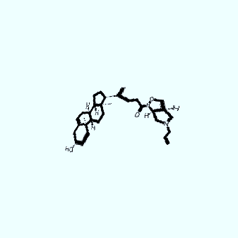 C=CCN1C[C@@H]2CON(C(=O)CCC(C)[C@H]3CC[C@H]4[C@@H]5CC=C6C[C@@H](O)CC[C@]6(C)[C@H]5CC[C@]34C)[C@@H]2C1